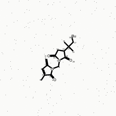 C=C1C=C(C)C(=O)N1CN1C(=O)CC(C(C)(C)CC(C)CC)C1=O